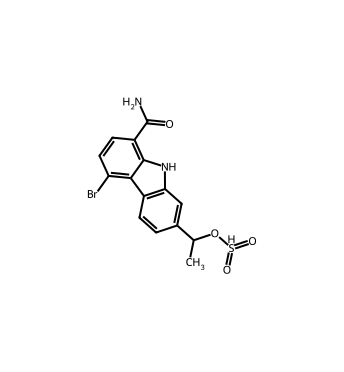 CC(O[SH](=O)=O)c1ccc2c(c1)[nH]c1c(C(N)=O)ccc(Br)c12